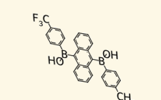 Cc1ccc(B(O)c2c3ccccc3c(B(O)c3ccc(C(F)(F)F)cc3)c3ccccc23)cc1